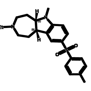 CCN1CC[C@H]2c3cc(S(=O)(=O)c4ccc(C)cc4)ccc3N(C)[C@H]2CC1